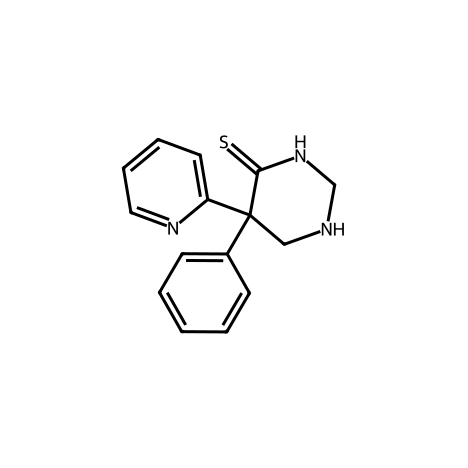 S=C1NCNCC1(c1ccccc1)c1ccccn1